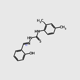 Cc1ccc(NC(=S)N/N=C/c2ccccc2O)c(C)c1